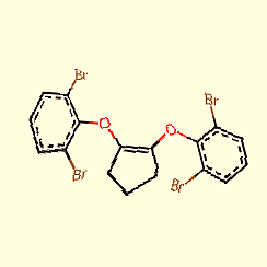 Brc1cccc(Br)c1OC1=C(Oc2c(Br)cccc2Br)CCC1